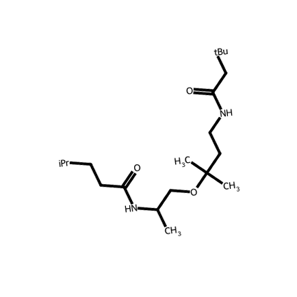 CC(C)CCC(=O)NC(C)COC(C)(C)CCNC(=O)CC(C)(C)C